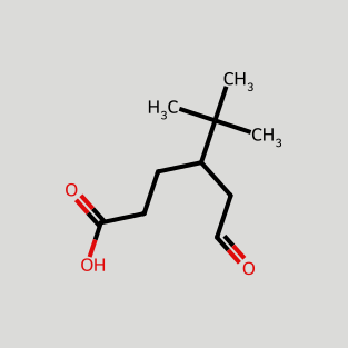 CC(C)(C)C(CC=O)CCC(=O)O